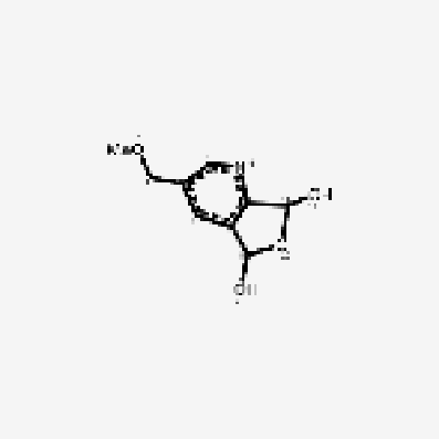 COCc1cnc2c(c1)C(O)OC2O